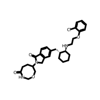 O=C1CCC(N2Cc3cc(C[C@H]4CCCC[C@@H]4NCCOc4ccccc4Cl)ccc3C2=O)COCN1